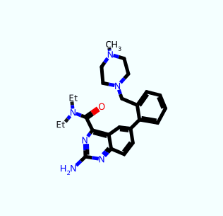 CCN(CC)C(=O)c1nc(N)nc2ccc(-c3ccccc3CN3CCN(C)CC3)cc12